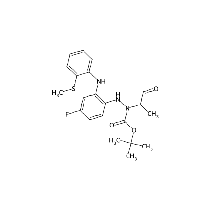 CSc1ccccc1Nc1cc(F)ccc1NN(C(=O)OC(C)(C)C)C(C)C=O